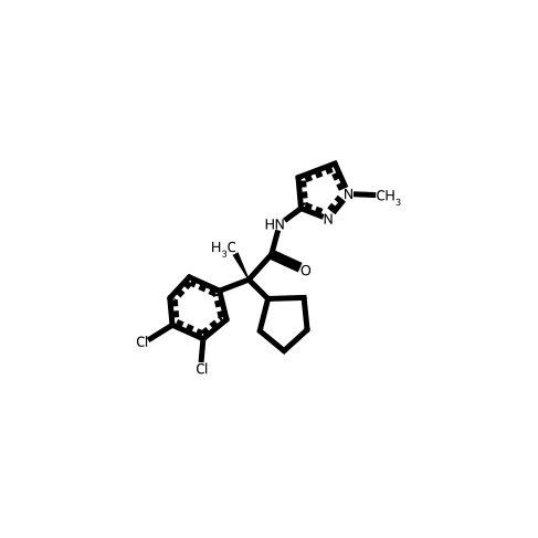 Cn1ccc(NC(=O)[C@@](C)(c2ccc(Cl)c(Cl)c2)C2CCCC2)n1